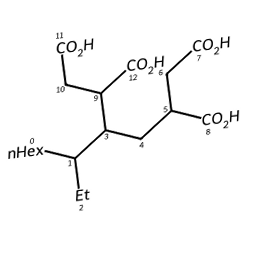 CCCCCCC(CC)C(CC(CC(=O)O)C(=O)O)C(CC(=O)O)C(=O)O